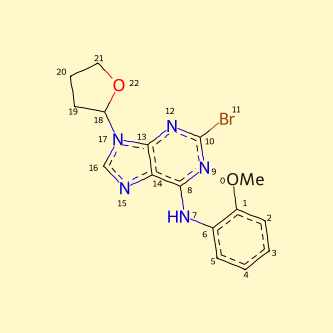 COc1ccccc1Nc1nc(Br)nc2c1ncn2C1CCCO1